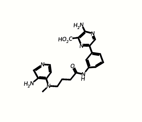 CN(CCCC(=O)Nc1cccc(-c2cnc(N)c(C(=O)O)n2)c1)c1ccncc1N